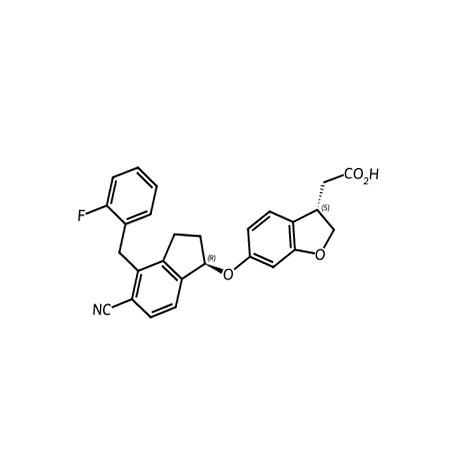 N#Cc1ccc2c(c1Cc1ccccc1F)CC[C@H]2Oc1ccc2c(c1)OC[C@H]2CC(=O)O